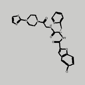 O=C(N[C@@H](Cc1ccccn1)C(=O)NCC(=O)N1CCN(c2nccs2)CC1)c1cc2cc(Cl)ccc2o1